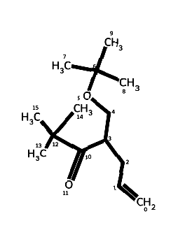 C=CCC(COC(C)(C)C)C(=O)C(C)(C)C